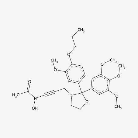 CCCOc1ccc(C2(c3cc(OC)c(OC)c(OC)c3)OCCC2CC#CN(O)C(C)=O)cc1OC